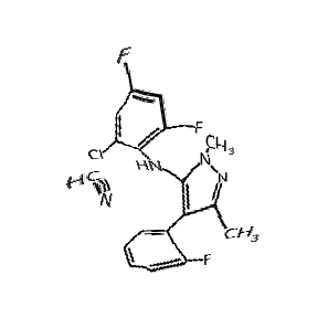 C#N.Cc1nn(C)c(Nc2c(F)cc(F)cc2Cl)c1-c1ccccc1F